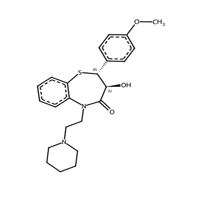 COc1ccc([C@H]2Sc3ccccc3N(CCN3CCCCC3)C(=O)[C@@H]2O)cc1